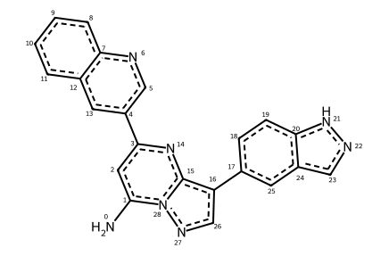 Nc1cc(-c2cnc3ccccc3c2)nc2c(-c3ccc4[nH]ncc4c3)cnn12